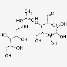 CC(=O)O.O=CC(O)C(O)C(O)CO.OCC(O)C(O)C(O)CO.OCC(O)CO